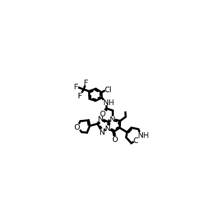 CCc1c(C2=CCNCCC2)c(=O)n2nc(C3=CCOCC3)nc2n1CC(=O)Nc1ccc(C(F)(F)F)cc1Cl